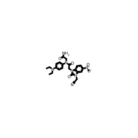 CCN(CC)c1ccc(N(CC(N)=O)C(=O)Cn2c(=O)n(CC#N)c3cc([N+](=O)[O-])ccc32)cc1